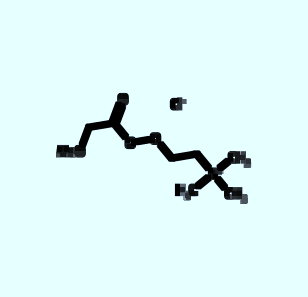 COCC(=O)OOCC[N+](C)(C)C.[Cl-]